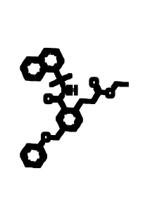 CCOC(=O)CCc1ccc(COc2ccccc2)cc1C(=O)NC(C)(C)c1cccc2ccccc12